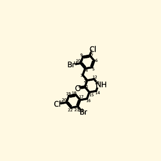 O=C1C(Cc2ccc(Cl)cc2Br)CNCC1Cc1ccc(Cl)cc1Br